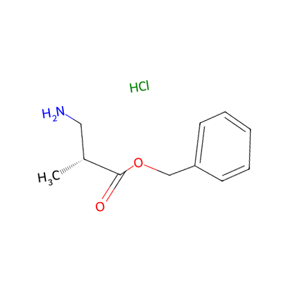 C[C@H](CN)C(=O)OCc1ccccc1.Cl